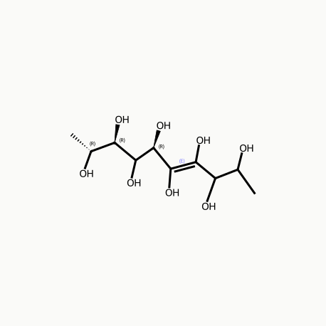 CC(O)C(O)/C(O)=C(\O)[C@H](O)C(O)[C@H](O)[C@@H](C)O